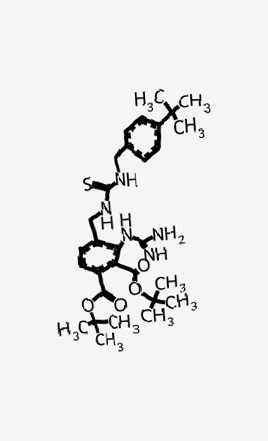 CC(C)(C)OC(=O)c1ccc(CNC(=S)NCc2ccc(C(C)(C)C)cc2)c(NC(=N)N)c1C(=O)OC(C)(C)C